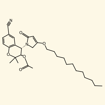 CCCCCCCCCCCCOC1=CC(=O)N([C@H]2c3cc(C#N)ccc3OC(C)(C)[C@@H]2OC(C)=O)C1